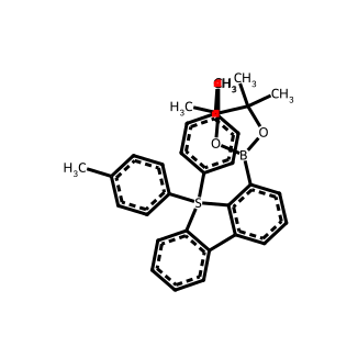 Cc1ccc(S2(c3ccc(C)cc3)c3ccccc3-c3cccc(B4OC(C)(C)C(C)(C)O4)c32)cc1